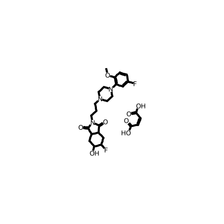 COc1ccc(F)cc1N1CCN(CCCN2C(=O)C3CC(O)C(F)CC3C2=O)CC1.O=C(O)/C=C\C(=O)O